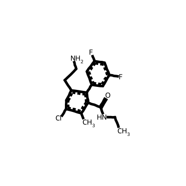 CCNC(=O)c1c(C)c(Cl)cc(CCN)c1-c1cc(F)cc(F)c1